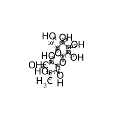 C[C@H](O)[C@H](O)[C@@H](O[C@@H]1O[C@H](CO)[C@@H](O)[C@H](O)[C@H]1O)[C@@H](O)C=O